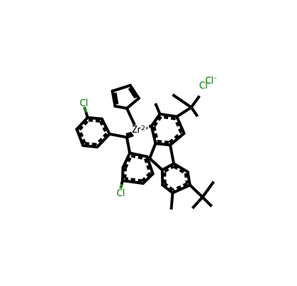 Cc1cc2c(cc1C(C)(C)C)-c1cc(C(C)(C)C)c(C)[c]([Zr+2](=[C](c3cccc(Cl)c3)c3cccc(Cl)c3)[CH]3C=CC=C3)c1C2.[Cl-].[Cl-]